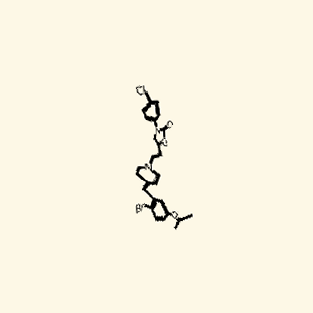 CC(C)Oc1ccc(Br)c(CC2CCN(CCC3CN(c4ccc(Cl)cc4)C(=O)O3)CC2)c1